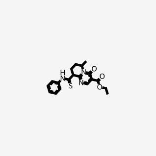 CCOC(=O)c1cnc2n(c1=O)C(C)CCC2C(=S)Nc1ccccc1